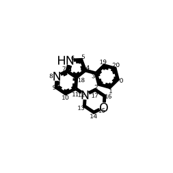 c1ccc(-c2c[nH]c3nccc(N4CCOCC4)c23)cc1